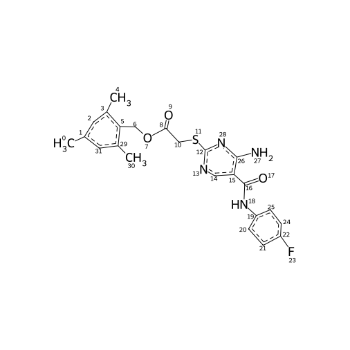 Cc1cc(C)c(COC(=O)CSc2ncc(C(=O)Nc3ccc(F)cc3)c(N)n2)c(C)c1